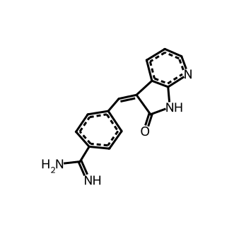 N=C(N)c1ccc(C=C2C(=O)Nc3ncccc32)cc1